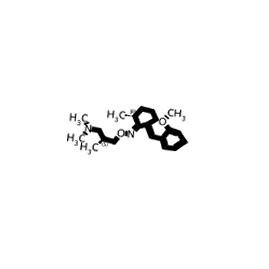 COc1ccccc1C=C1CCC[C@@H](C)C1=NOC[C@@H](C)CN(C)C